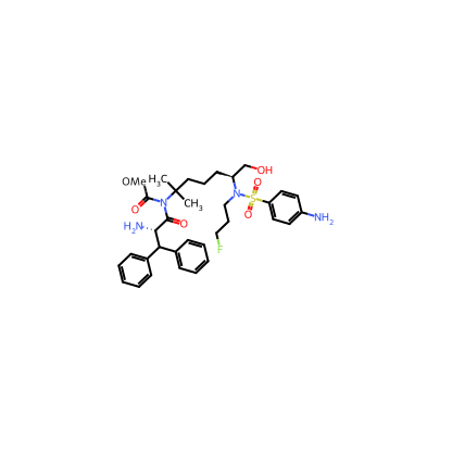 COC(=O)N(C(=O)[C@@H](N)C(c1ccccc1)c1ccccc1)C(C)(C)CCC[C@@H](CO)N(CCCF)S(=O)(=O)c1ccc(N)cc1